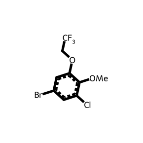 COc1c(Cl)cc(Br)cc1OCC(F)(F)F